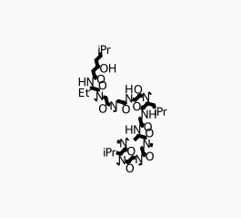 CC[C@H](NC(=O)CC(O)CCC(C)C)C(=O)N(C)CC(=O)N(C)CC(=O)NCC(=O)N(C)C(CC(C)C)C(=O)NCC(=O)NC(C)C(=O)N(C)CC(=O)N(C)CC(=O)N(C)C(C(=O)N(C)C)C(C)C